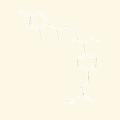 CC(=O)NCc1ccc(C(C)N2CCN(c3ccc(F)cc3F)CC2)cc1